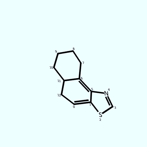 C1=c2scnc2=C2CCCCC2C1